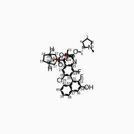 CN1CCC[C@H]1COc1nc(N2C[C@H]3CC[C@@H](C2)N3C(=O)OC(C)(C)C)c2cc(Cl)c(-c3c(F)c(O)cc4ccccc34)c(F)c2n1